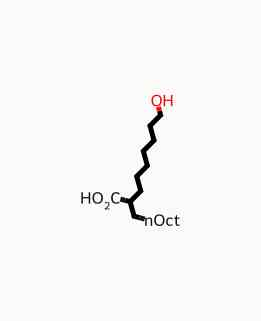 CCCCCCCCCC(CCCCCCCO)C(=O)O